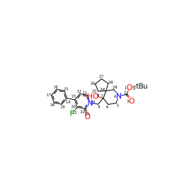 CC(C)(C)OC(=O)N1CCC(O)(Cn2ccc(-c3ccccc3)c(F)c2=O)C2(CCCC2)C1